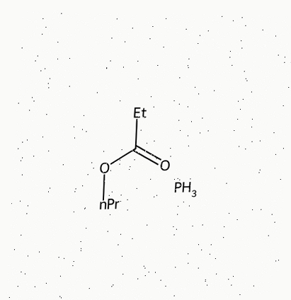 CCCOC(=O)CC.P